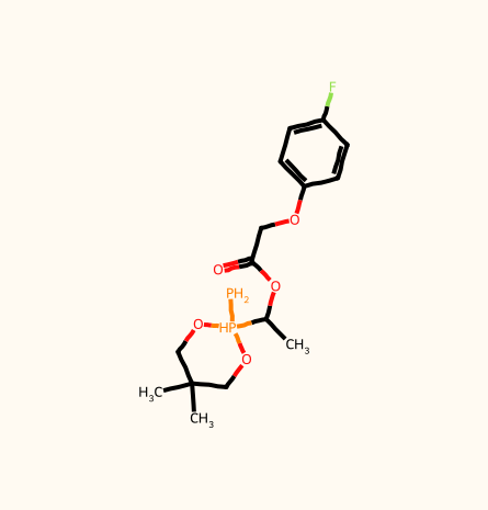 CC(OC(=O)COc1ccc(F)cc1)[PH]1(P)OCC(C)(C)CO1